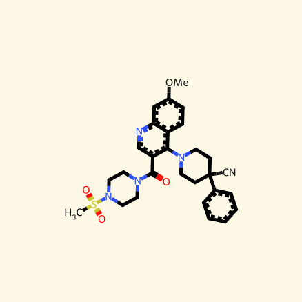 COc1ccc2c(N3CCC(C#N)(c4ccccc4)CC3)c(C(=O)N3CCN(S(C)(=O)=O)CC3)cnc2c1